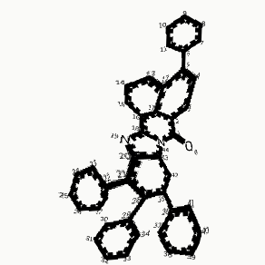 O=c1c2ccc(-c3ccccc3)c3cccc(c32)c2nc3c(-c4ccccc4)c(-c4ccccc4)c(-c4ccccc4)cc3n12